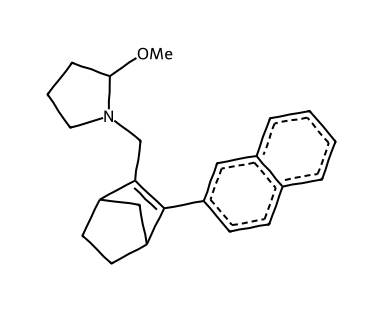 COC1CCCN1CC1=C(c2ccc3ccccc3c2)C2CCC1C2